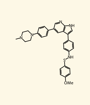 COc1ccc(SNc2ccc(-c3c[nH]c4ncc(-c5ccc(N6CCN(C)CC6)cc5)cc34)cc2)cc1